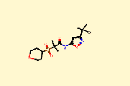 CCC(C)(C)c1cc(NC(=O)C(C)(C)S(=O)(=O)C2CCOCC2)on1